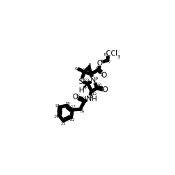 CC12CC1(C(=O)OCC(Cl)(Cl)Cl)N1C(=O)C(NC(=O)Cc3ccccc3)[C@@H]1S2